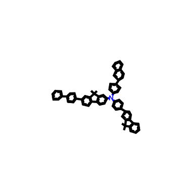 CC1(C)c2ccccc2-c2ccc(-c3ccc(N(c4ccc(-c5ccc6ccccc6c5)cc4)c4ccc5c(c4)C(C)(C)c4cc(-c6ccc(-c7ccccc7)cc6)ccc4-5)cc3)cc21